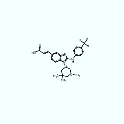 C[C@@H]1C[C@H](n2c(Nc3ccc(C(F)(F)F)cc3)nc3cc(/C=C/C(=O)O)ccc32)CC(C)(C)C1